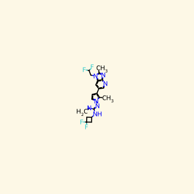 C=N/C(=N\n1ccc(-c2cnc3nc(C)n(CC(F)F)c3c2)c1C)NC1CC(F)(F)C1